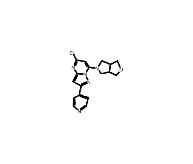 Clc1cc(N2CC3COCC3C2)n2nc(-c3ccncc3)cc2n1